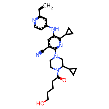 C=Cc1cc(Nc2cc(C#N)c(N3CCN(C(=O)CCCCO)C(C4CC4)C3)nc2C2CC2)ccn1